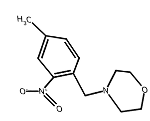 Cc1ccc(CN2CCOCC2)c([N+](=O)[O-])c1